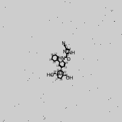 N#Cc1c[nH]c(C(=O)NC/C=C\C(=C/CC2=CCCCC2)[C@H]2C[C@]3(CO)CC[C@](CO)(C2)O3)n1